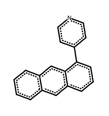 c1ccc2cc3c(-c4ccncc4)cccc3cc2c1